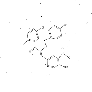 O=C(C(=Cc1ccc(O)c([N+](=O)[O-])c1)SCc1ccc(Br)cc1)c1cc(Cl)ccc1O